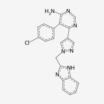 Nc1ncnc(-c2cnn(Cc3nc4ccccc4[nH]3)c2)c1-c1ccc(Cl)cc1